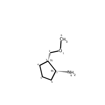 COC[C@H]1CCC[C@H]1N